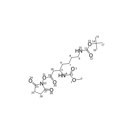 COC(=O)NC(CCCCNC(=O)OC(C)(C)C)CC(=O)ON1C(=O)CCC1=O